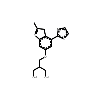 CC1=Nc2cc(OCC(CO)CO)cc(-c3nccs3)c2C1